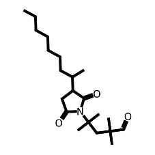 CCCCCCCC(C)C1CC(=O)N(C(C)(C)CC(C)(C)C=O)C1=O